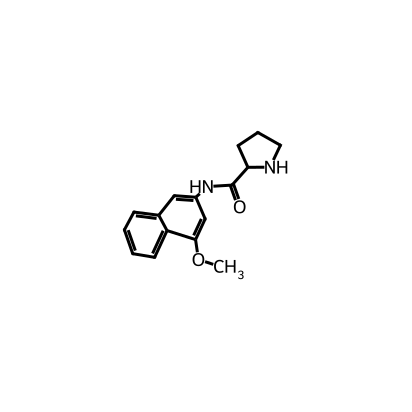 COc1cc(NC(=O)C2CCCN2)cc2ccccc12